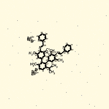 Cc1cc(-c2c(C)ccc(C(C)C)c2-c2cc(C)c(/N=C/c3ccccn3)c(C)c2)cc(C)c1/N=C/c1ccccn1.[Br-].[Br-].[Br-].[Br-].[Pd+2].[Pd+2]